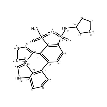 NS(=O)(=O)c1c(S(=O)(=O)NC2CCNC2)ccc(-c2cccc3[nH]cnc23)c1-c1nn[nH]n1